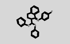 Fc1ccc(/N=C2\c3ccccc3CCC2C(Sc2ccccc2)Sc2ccccc2)cc1